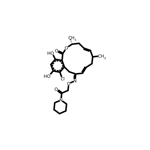 CC1/C=C/C[C@@H](C)OC(=O)c2c(O)cc(O)c(Cl)c2CC(=N\OCC(=O)N2CCCCC2)/C=C/C1